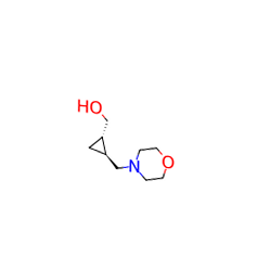 OC[C@H]1C[C@@H]1CN1CCOCC1